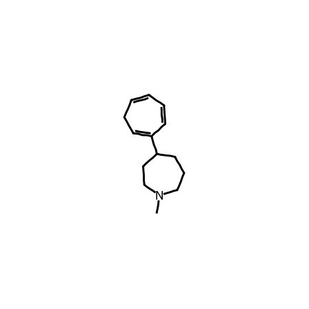 CN1CCCC(C2=CCC=CC=C2)CC1